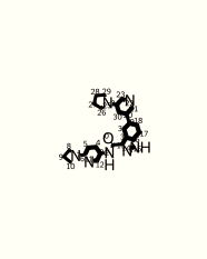 O=C(Nc1ccc(N2CCC2)nc1)c1n[nH]c2ccc(-c3cncc(N4CCCC4)c3)cc12